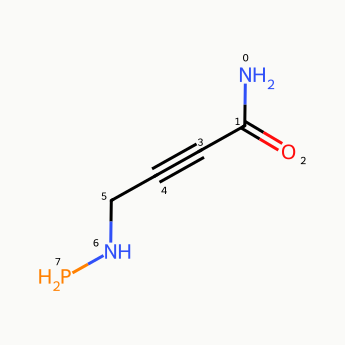 NC(=O)C#CCNP